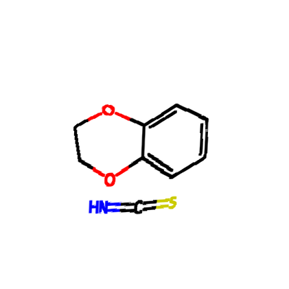 N=C=S.c1ccc2c(c1)OCCO2